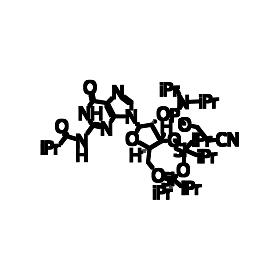 CC(C)C(=O)Nc1nc2c(ncn2[C@@H]2O[C@@H]3CO[Si](C(C)C)(C(C)C)O[Si](C(C)C)(C(C)C)O[C@H]3[C@H]2OP(OCCC#N)N(C(C)C)C(C)C)c(=O)[nH]1